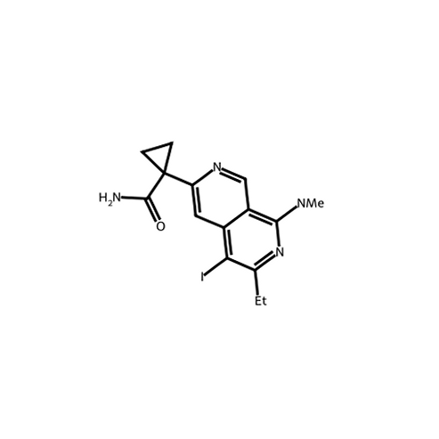 CCc1nc(NC)c2cnc(C3(C(N)=O)CC3)cc2c1I